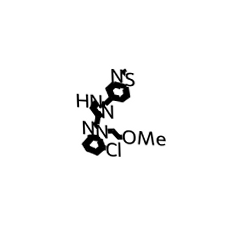 COCCn1c(-c2c[nH]c(-c3ccc4scnc4c3)n2)nc2cccc(Cl)c21